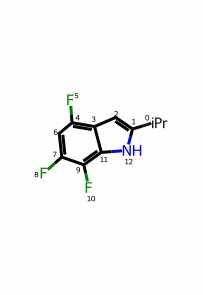 CC(C)c1cc2c(F)cc(F)c(F)c2[nH]1